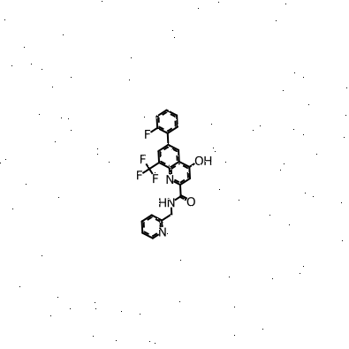 O=C(NCc1ccccn1)c1cc(O)c2cc(-c3ccccc3F)cc(C(F)(F)F)c2n1